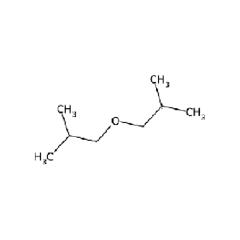 C[C](C)COCC(C)C